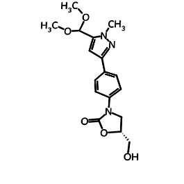 COC(OC)c1cc(-c2ccc(N3C[C@H](CO)OC3=O)cc2)nn1C